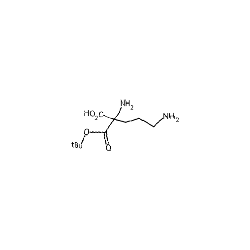 CC(C)(C)OC(=O)C(N)(CCCN)C(=O)O